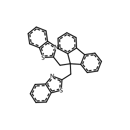 c1ccc2c(c1)-c1ccccc1C2(Cc1nc2ccccc2s1)Cc1nc2ccccc2s1